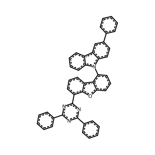 c1ccc(-c2ccc3c(c2)c2ccccc2n3-c2cccc3oc4c(-c5nc(-c6ccccc6)nc(-c6ccccc6)n5)cccc4c23)cc1